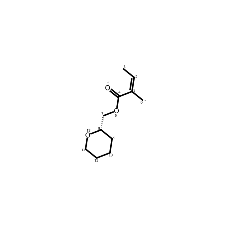 [CH2]/C(=C/C)C(=O)OC[C@@H]1CCCCO1